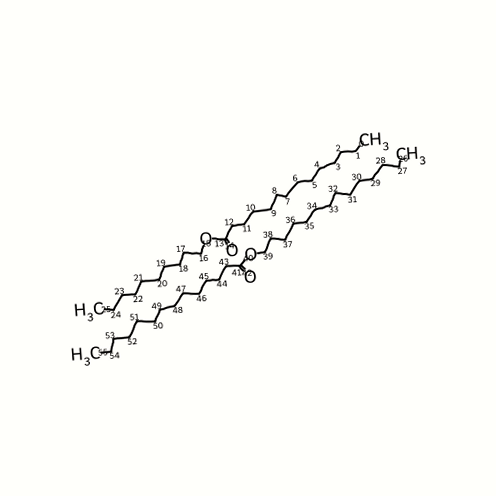 CCCCCCCCCCCCCC(=O)OCCCCCCCCCC.CCCCCCCCCCCCCCOC(=O)CCCCCCCCCCCCC